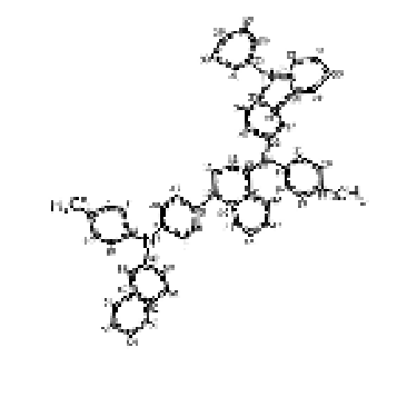 Cc1ccc(N(c2ccc(-c3ccc(N(c4ccc(C)cc4)c4ccc5c(c4)c4ccccc4n5-c4ccccc4)c4ccccc34)cc2)c2ccc3ccccc3c2)cc1